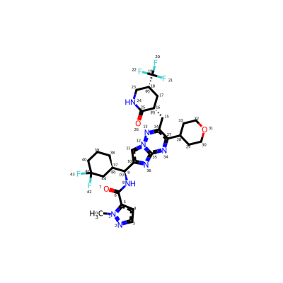 Cn1nccc1C(=O)N[C@H](c1cn2nc(C[C@H]3C[C@@H](C(F)(F)F)CNC3=O)c(C3CCOCC3)nc2n1)[C@@H]1CCCC(F)(F)C1